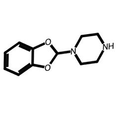 c1ccc2c(c1)OC(N1CCNCC1)O2